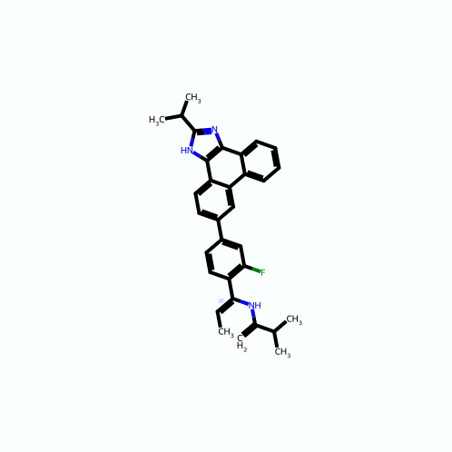 C=C(N/C(=C\C)c1ccc(-c2ccc3c(c2)c2ccccc2c2nc(C(C)C)[nH]c32)cc1F)C(C)C